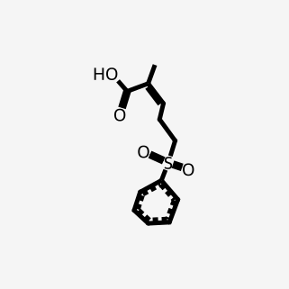 CC(=CCCS(=O)(=O)c1ccccc1)C(=O)O